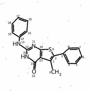 Cc1c(-c2ccccc2)sc2nc(Nc3ccccc3)[nH]c(=O)c12